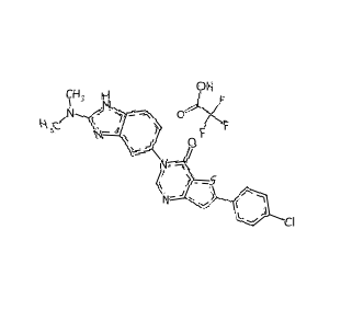 CN(C)c1nc2cc(-n3cnc4cc(-c5ccc(Cl)cc5)sc4c3=O)ccc2[nH]1.O=C(O)C(F)(F)F